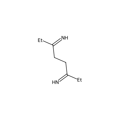 [CH2]CC(=N)CCC(=N)C[CH2]